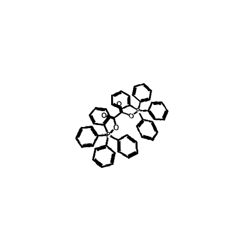 O=C(OP(c1ccccc1)(c1ccccc1)(c1ccccc1)c1ccccc1)C(=O)OP(c1ccccc1)(c1ccccc1)(c1ccccc1)c1ccccc1